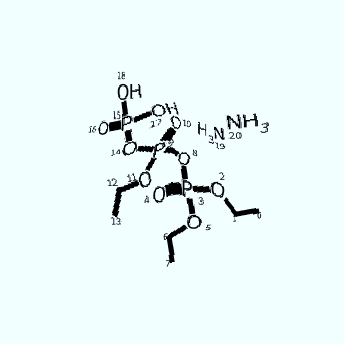 CCOP(=O)(OCC)OP(=O)(OCC)OP(=O)(O)O.N.N